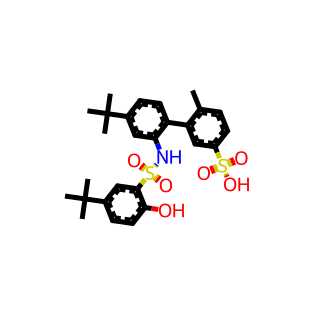 Cc1ccc(S(=O)(=O)O)cc1-c1ccc(C(C)(C)C)cc1NS(=O)(=O)c1cc(C(C)(C)C)ccc1O